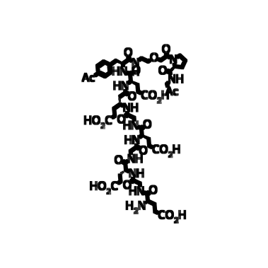 CC(=O)CNC(=O)[C@@H]1CCCN1C(=O)COCCNC(=O)[C@H](Cc1ccc(C(C)=O)cc1)NC(=O)[C@@H](CCC(=O)O)NC(=O)C[C@@H](CCC(=O)O)NC(=O)CNC(=O)[C@@H](CCC(=O)O)NC(=O)CNC(=O)[C@@H](CCC(=O)O)NC(=O)CNC(=O)[C@H](N)CCC(=O)O